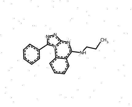 CCCNc1nc2nnc(-c3ccccc3)n2c2ccccc12